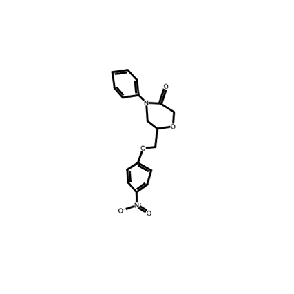 O=C1COC(COc2ccc([N+](=O)[O-])cc2)CN1c1ccccc1